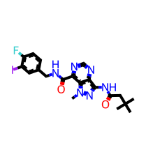 Cn1nc(NC(=O)CC(C)(C)C)c2ncnc(C(=O)NCc3ccc(F)c(I)c3)c21